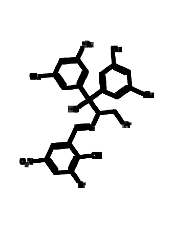 CC(C)CC(N=Cc1cc([N+](=O)[O-])cc(Br)c1O)C(O)(c1cc(C(C)(C)C)cc(C(C)(C)C)c1)c1cc(C(C)(C)C)cc(C(C)(C)C)c1